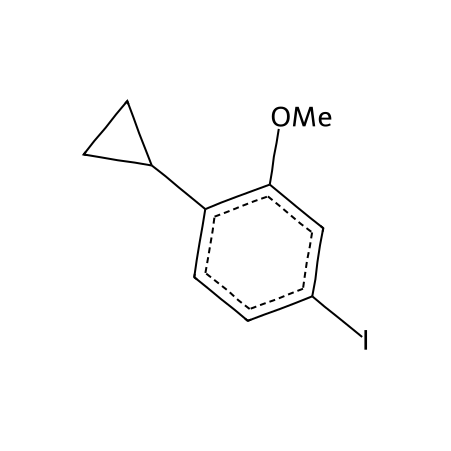 COc1cc(I)ccc1C1CC1